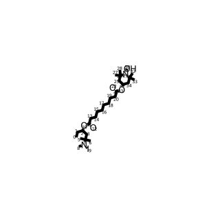 CCC(CC(C)(C)N(C)I)OC(=O)CCCCCCCCC(=O)OC1CC(C)(C)N(O)C(C)(C)C1